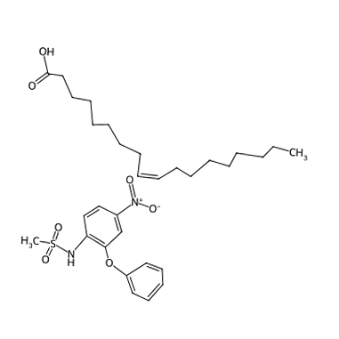 CCCCCCCC/C=C\CCCCCCCC(=O)O.CS(=O)(=O)Nc1ccc([N+](=O)[O-])cc1Oc1ccccc1